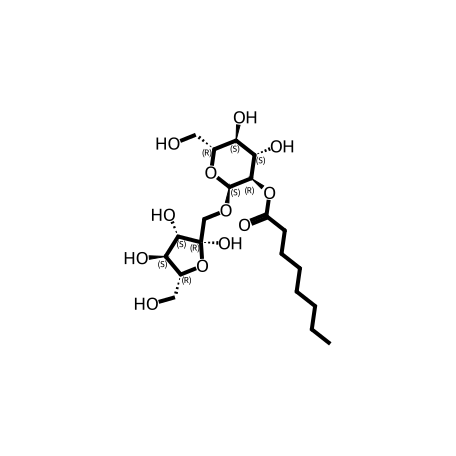 CCCCCCCC(=O)O[C@H]1[C@@H](OC[C@@]2(O)O[C@H](CO)[C@@H](O)[C@@H]2O)O[C@H](CO)[C@@H](O)[C@@H]1O